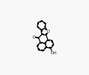 O=C1c2c(oc3ccccc23)-c2ccc(O)c3cccc1c23